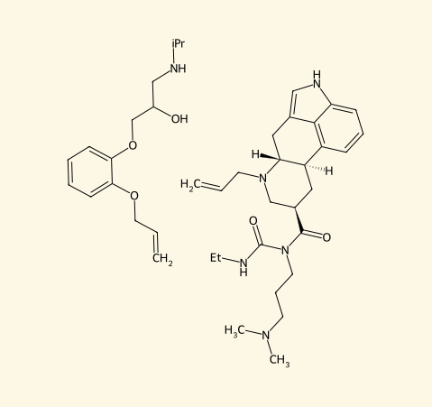 C=CCN1C[C@H](C(=O)N(CCCN(C)C)C(=O)NCC)C[C@@H]2c3cccc4[nH]cc(c34)C[C@H]21.C=CCOc1ccccc1OCC(O)CNC(C)C